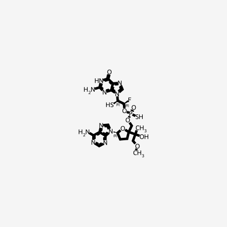 COCC(C)(O)C1(COP(=O)(S)O[C@H](F)[C@@H](S)n2cnc3c(=O)[nH]c(N)nc32)CC[C@H](n2cnc3c(N)ncnc32)O1